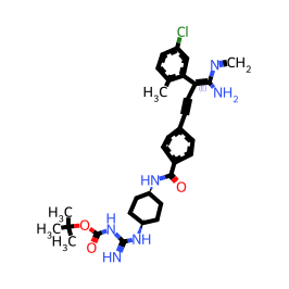 C=N/C(N)=C(/C#Cc1ccc(C(=O)N[C@H]2CC[C@H](NC(=N)NC(=O)OC(C)(C)C)CC2)cc1)c1cc(Cl)ccc1C